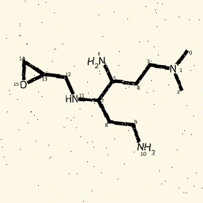 CN(C)CCC(N)C(CCN)NCC1CO1